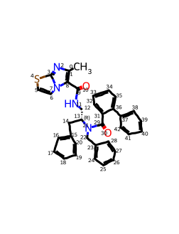 Cc1nc2sccn2c1C(=O)NC[C@@H](Cc1ccccc1)N(Cc1ccccc1)C(=O)c1ccccc1-c1ccccc1